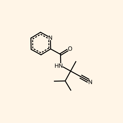 CC(C)C(C)(C#N)NC(=O)c1ccccn1